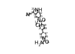 CCN(C(=O)c1ccc(C2CCN(C(N)=O)CC2)cc1)c1ccc2[nH]cc(C#N)c2c1